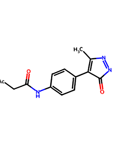 CC(=O)CC(=O)Nc1ccc(C2=C(C)N=NC2=O)cc1